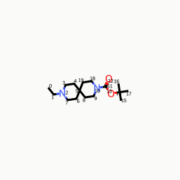 CCN1CCC2(CC1)CCN(C(=O)OC(C)(C)C)CC2